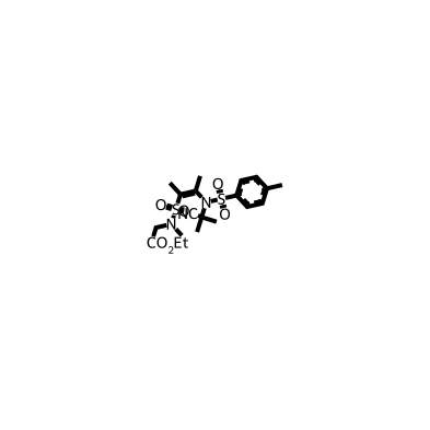 CCOC(=O)CN(C)S(=O)(=O)/C(C)=C(/C)N(C(C)(C)C#N)S(=O)(=O)c1ccc(C)cc1